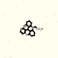 O=C(O)CN1C2=C(C(=O)CCC2)C(c2cccnc2O)C2=C1CCCC2=O